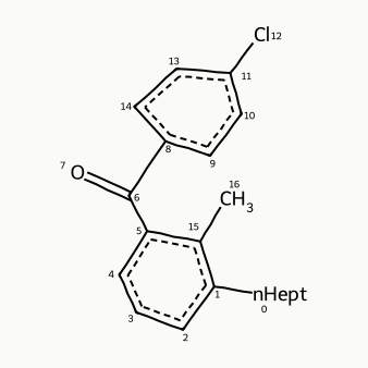 CCCCCCCc1cccc(C(=O)c2ccc(Cl)cc2)c1C